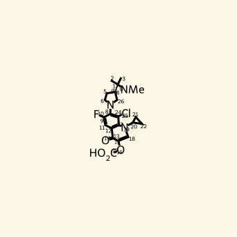 CNC(C)(C)[C@@H]1CCN(c2c(F)cc3c(=O)c(OC(=O)O)cn(C4CC4)c3c2Cl)C1